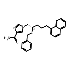 NC(=O)c1cn(C[C@H](CCCc2cccc3ccccc23)OCc2ccccc2)cn1